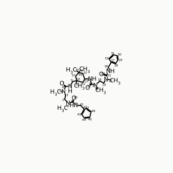 CN(CCN(C)C(=O)NCC1(C)CC(NC(=O)N(C)CCN(C)C(=O)NCc2ccccc2)CC(C)(C)C1)C(=O)NCc1ccccc1